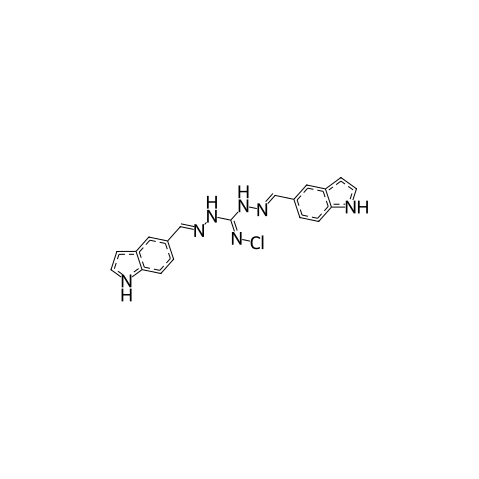 ClN=C(N/N=C/c1ccc2[nH]ccc2c1)N/N=C/c1ccc2[nH]ccc2c1